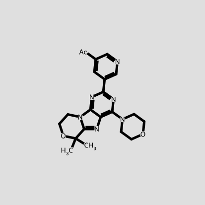 CC(=O)c1cncc(-c2nc(N3CCOCC3)c3nc4n(c3n2)CCOC4(C)C)c1